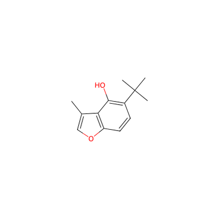 Cc1coc2ccc(C(C)(C)C)c(O)c12